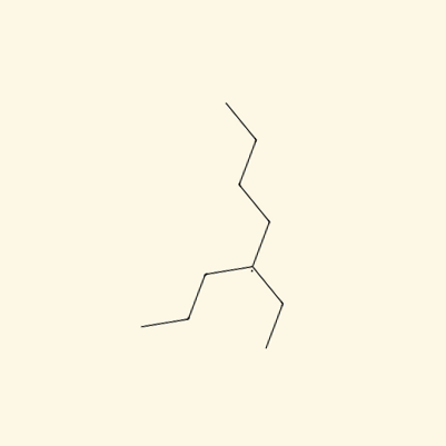 CCCC[C](CC)CCC